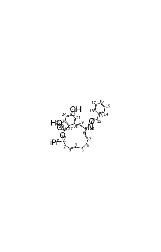 CC(C)[C@@H]1C/C=C/CC/C=C/C(=NOCc2ccccc2)Cc2cc(O)cc(O)c2C(=O)O1